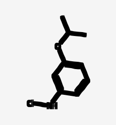 CC(C)Oc1cccc(NCl)c1